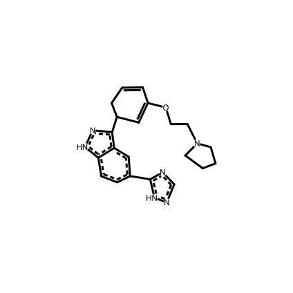 C1=CC(OCCN2CCCC2)=CC(c2n[nH]c3ccc(-c4ncn[nH]4)cc23)C1